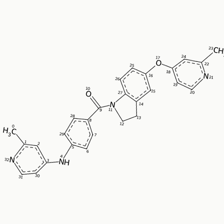 Cc1cc(Nc2ccc(C(=O)N3CCc4cc(Oc5ccnc(C)c5)ccc43)cc2)ccn1